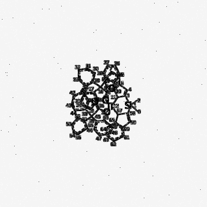 C[Si]1(C)C2=Cc3ccccc3[CH]2[Ti]([O]C(=O)C(c2ccccc2)(c2ccccc2)c2ccccc2)([O]C(=O)C(c2ccccc2)(c2ccccc2)c2ccccc2)[CH]2C1=Cc1ccccc12